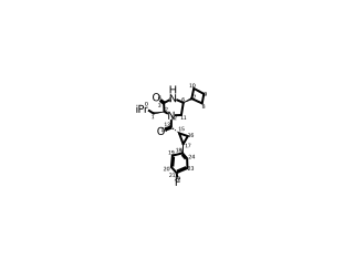 CC(C)C[C@H]1C(=O)N[C@@H](C2CCC2)CN1C(=O)[C@@H]1C[C@H]1c1ccc(F)cc1